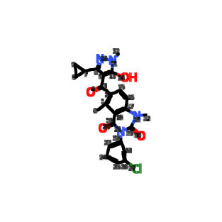 Cc1c(C(=O)c2c(C3CC3)nn(C)c2O)ccc2c1c(=O)n(-c1cccc(Cl)c1)c(=O)n2C